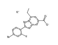 CCc1cc(C(=O)[O-])cc2cc(-c3ccc(Br)cc3F)nn12.[K+]